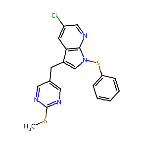 CSc1ncc(Cc2cn(Sc3ccccc3)c3ncc(Cl)cc23)cn1